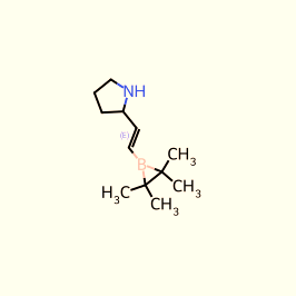 CC1(C)B(/C=C/C2CCCN2)C1(C)C